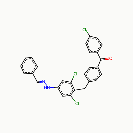 O=C(c1ccc(Cl)cc1)c1ccc(Cc2c(Cl)cc(N/N=C/c3ccccc3)cc2Cl)cc1